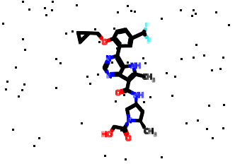 Cc1[nH]c2c(-c3cc(C(F)F)ccc3OCC3CC3)ncnc2c1C(=O)N[C@H]1C[C@@H](C)N(C(=O)CO)C1